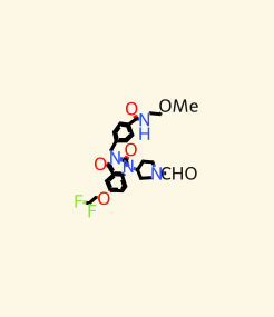 COCCNC(=O)c1ccc(Cn2c(=O)c3cc(OCC(F)F)ccc3n(C3CCN(C=O)CC3)c2=O)cc1